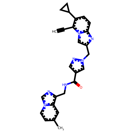 C#Cc1c(C2CC2)ccc2nc(Cn3cc(C(=O)NCc4ncn5ccc(C)cc45)cn3)cn12